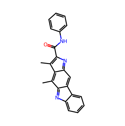 CC1=C(C(=O)Nc2ccccc2)N=c2cc3c(c(C)c21)=Nc1ccccc1-3